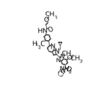 CCO/C=C/C(=O)Nc1ccc(-c2ccc3cc(-c4nc5cc(C(=O)N6CC7CCC6C7N)cc(OC)c5n4C)n(CC4CC4)c3n2)c(C)c1